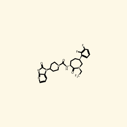 O=C(N[C@@H]1CC[C@@H](c2cccc(F)c2F)CN(CC(F)(F)F)C1=O)N1CCC(N2C(=O)[N]c3ncccc32)CC1